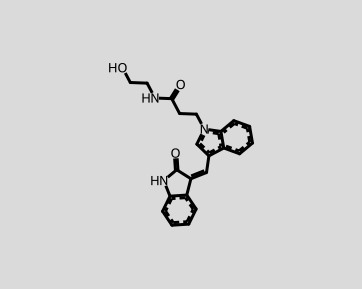 O=C(CCn1cc(C=C2C(=O)Nc3ccccc32)c2ccccc21)NCCO